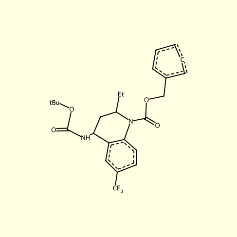 CCC1CC(NC(=O)OC(C)(C)C)c2cc(C(F)(F)F)ccc2N1C(=O)OCc1ccccc1